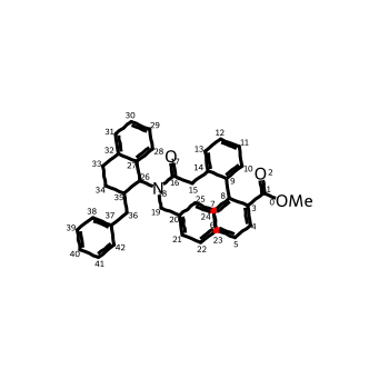 COC(=O)c1ccccc1-c1ccccc1CC(=O)N(Cc1ccccc1)C1c2ccccc2CCC1Cc1ccccc1